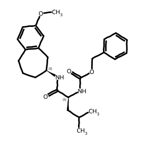 COc1ccc2c(c1)C[C@@H](NC(=O)[C@H](CC(C)C)NC(=O)OCc1ccccc1)CCC2